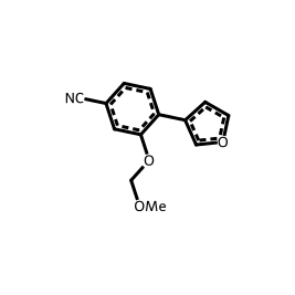 COCOc1cc(C#N)ccc1-c1ccoc1